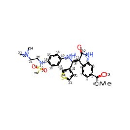 COC(=O)c1ccc2c(c1)NC(=O)/C2=C(\Nc1ccc(N(CCN(C)C)S(C)(=O)=O)cc1)c1ccsc1